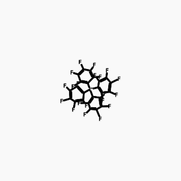 Fc1c(F)c(F)c([I+](c2c(F)c(F)c(F)c(F)c2F)(c2c(F)c(F)c(F)c(F)c2F)c2c(F)c(F)c(F)c(F)c2F)c(F)c1F